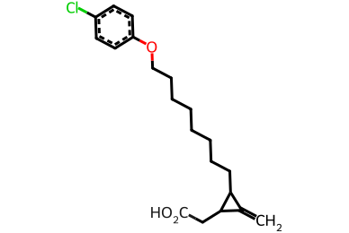 C=C1C(CCCCCCCCOc2ccc(Cl)cc2)C1CC(=O)O